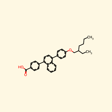 CCCCC(CC)COc1ccc(-c2ccc(-c3ccc(C(=O)O)cc3)c3ccccc23)cc1